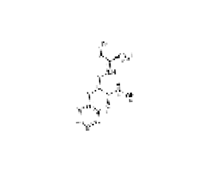 CC(C)C[C@H](NCC(Cc1ccccc1)C(=O)NO)C(=O)O